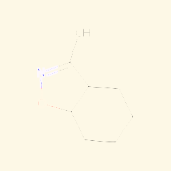 CC1=NOC2CCCCC12